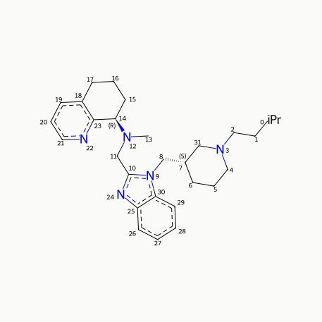 CC(C)CCN1CCC[C@H](Cn2c(CN(C)[C@@H]3CCCc4cccnc43)nc3ccccc32)C1